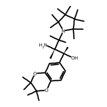 CC1(C)Oc2ccc([C@@](C)(O)[C@](C)(N)C(C)(C)N3C(C)(C)C(C)(C)C(C)(C)C3(C)C)cc2OC1(C)C